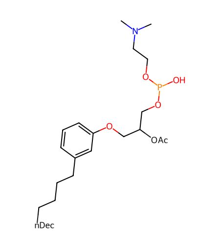 CCCCCCCCCCCCCCc1cccc(OCC(COP(O)OCCN(C)C)OC(C)=O)c1